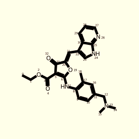 CCOC(=O)C1=C(Nc2ccc(CN(C)C)cc2C)OC(=Cc2c[nH]c3ncccc23)C1=O